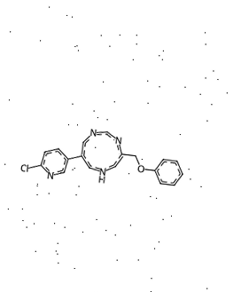 Clc1ccc(-c2cncnc(COc3ccccc3)c[nH]c2)cn1